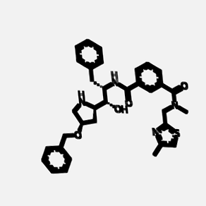 Cc1csc(CN(C)C(=O)c2cccc(C(=O)N[C@@H](Cc3ccccc3)[C@H](O)[C@H]3C[C@@H](OCc4ccccc4)CN3)c2)n1